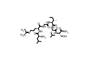 CC[C@H](C)[C@H](NC(=O)CNC(=O)[C@H](CCCN=C(N)N)NC(=O)[C@@H](N)CC(C)C)C(=O)N[C@@H](CC(C)C)C(=O)N[C@@H](CO)C(N)=O